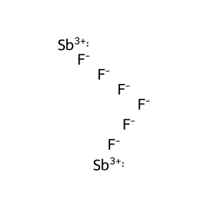 [F-].[F-].[F-].[F-].[F-].[F-].[Sb+3].[Sb+3]